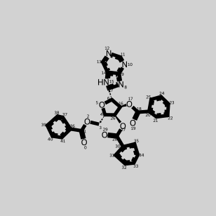 O=C(OC[C@@H]1O[C@H](c2nc3ncncc3[nH]2)[C@@H](OC(=O)c2ccccc2)[C@H]1OC(=O)c1ccccc1)c1ccccc1